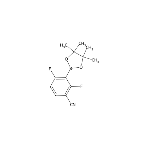 CC1(C)OB(c2c(F)ccc(C#N)c2F)OC1(C)C